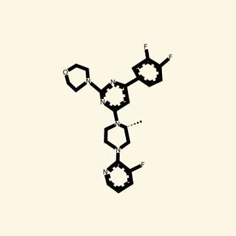 C[C@@H]1CN(c2ncccc2F)CCN1c1cc(-c2ccc(F)c(F)c2)nc(N2CCOCC2)n1